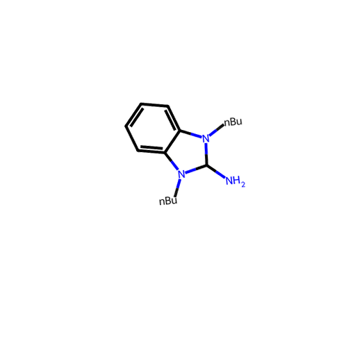 CCCCN1c2ccccc2N(CCCC)C1N